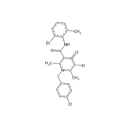 CCc1cccc(C)c1NC(=O)c1c(C)n(Cc2ccc(Cl)cc2)c(C)c(Cl)c1=O